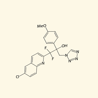 COc1ccc(C(O)(Cn2cnnn2)C(F)(F)c2ccc3cc(Cl)ccc3n2)cc1